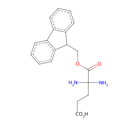 NC(N)(CCC(=O)O)C(=O)OCC1c2ccccc2-c2ccccc21